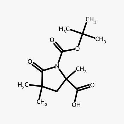 CC(C)(C)OC(=O)N1C(=O)C(C)(C)CC1(C)C(=O)O